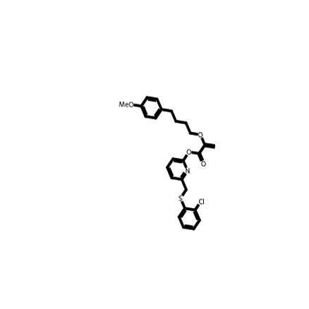 C=C(OCCCCc1ccc(OC)cc1)C(=O)Oc1cccc(CSc2ccccc2Cl)n1